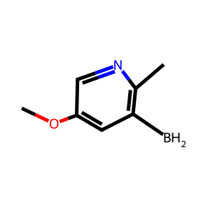 Bc1cc(OC)cnc1C